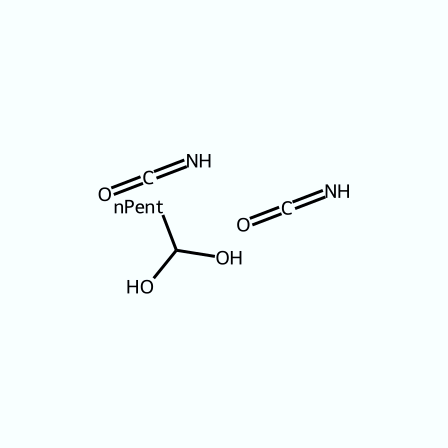 CCCCCC(O)O.N=C=O.N=C=O